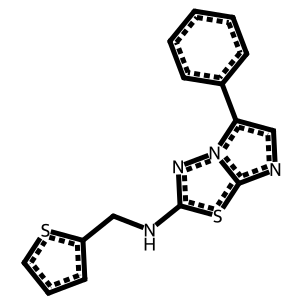 c1ccc(-c2cnc3sc(NCc4cccs4)nn23)cc1